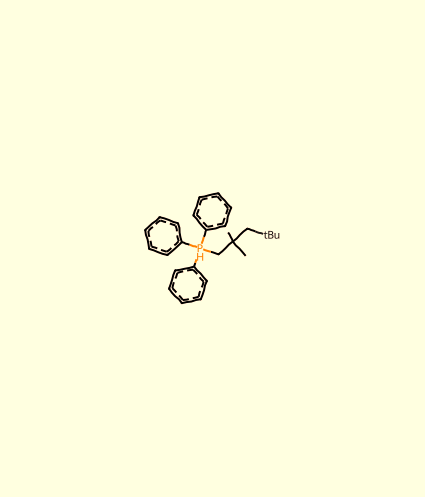 CC(C)(C)CC(C)(C)C[PH](c1ccccc1)(c1ccccc1)c1ccccc1